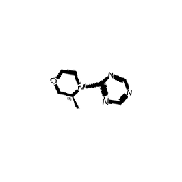 C[C@H]1COCCN1c1ncncn1